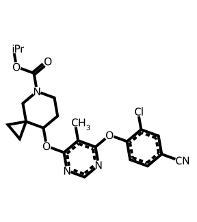 Cc1c(Oc2ccc(C#N)cc2Cl)ncnc1OC1CCN(C(=O)OC(C)C)CC12CC2